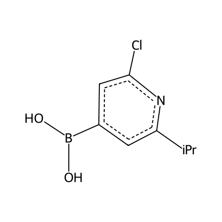 CC(C)c1cc(B(O)O)cc(Cl)n1